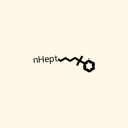 CCCCCCCCCCCC(C)(C)c1[c]cccc1